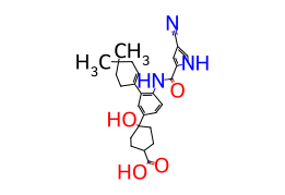 CC1(C)CC=C(c2cc(C3(O)CCC(C(=O)O)CC3)ccc2NC(=O)c2cc(C#N)c[nH]2)CC1